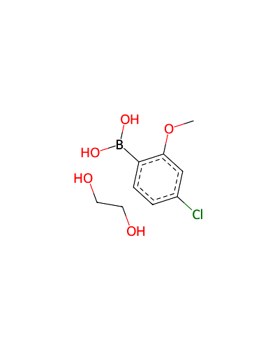 COc1cc(Cl)ccc1B(O)O.OCCO